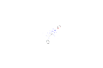 Nc1nc2nc(-c3ccco3)nn2c(N)c1CC1CCCN1Cc1ccccc1F